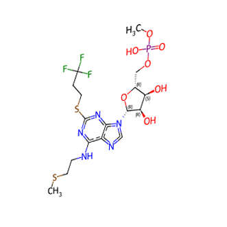 COP(=O)(O)OC[C@H]1O[C@@H](n2cnc3c(NCCSC)nc(SCCC(F)(F)F)nc32)[C@H](O)[C@@H]1O